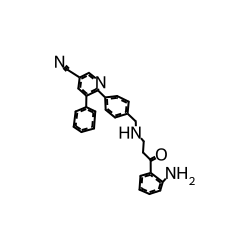 N#Cc1cnc(-c2ccc(CNCCC(=O)c3ccccc3N)cc2)c(-c2ccccc2)c1